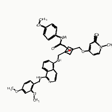 COc1ccc(NC(=O)N2CC3(COc4ccn(C)c(=O)c4)CC2(CNc2cccc4c(NCc5ccc(OC)cc5OC)nccc24)C3)cc1